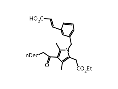 CCCCCCCCCCCC(=O)c1c(C)c(CC(=O)OCC)n(Cc2cccc(C=CC(=O)O)c2)c1C